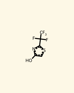 Oc1csc(C(F)(F)C(F)(F)F)n1